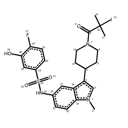 Cn1cc(C2CCN(C(=O)C(C)(C)I)CC2)c2cc(NS(=O)(=O)c3ccc(F)c(O)c3)ccc21